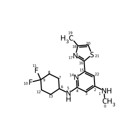 CNc1cc(NC2CCC(F)(F)CC2)nc(-c2nc(C)cs2)c1